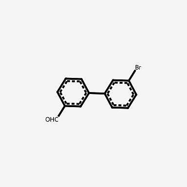 O=Cc1cccc(-c2cccc(Br)c2)c1